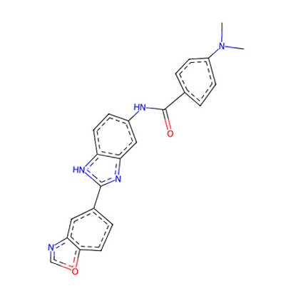 CN(C)c1ccc(C(=O)Nc2ccc3[nH]c(-c4ccc5ocnc5c4)nc3c2)cc1